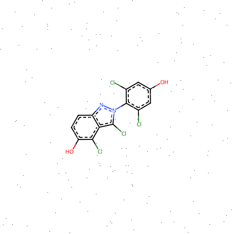 Oc1cc(Cl)c(-n2nc3ccc(O)c(Cl)c3c2Cl)c(Cl)c1